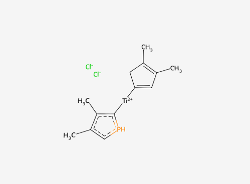 CC1=C(C)C[C]([Ti+2][c]2[pH]cc(C)c2C)=C1.[Cl-].[Cl-]